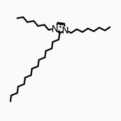 CCCCCCCCCCCCCCCc1n(CCCCCCCC)cc[n+]1CCCCCCC